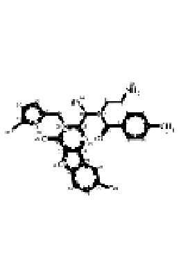 Cc1ccc(C(=O)N(CCN)[C@@H](c2nc3c(oc4ccc(F)cc43)c(=O)n2Cc2ccc(I)s2)C(C)C)cc1